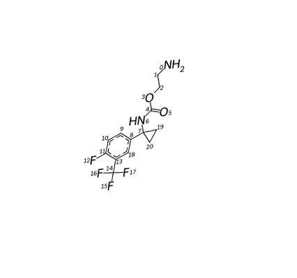 NCCOC(=O)NC1(c2ccc(F)c(C(F)(F)F)c2)CC1